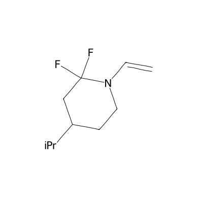 C=CN1CCC(C(C)C)CC1(F)F